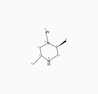 CC1CN(C(C)C)[C@@H](C)CN1